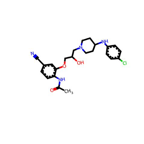 CC(=O)Nc1ccc(C#N)cc1OCC(O)CN1CCC(Nc2ccc(Cl)cc2)CC1